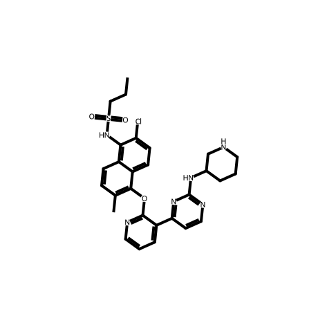 CCCS(=O)(=O)Nc1c(Cl)ccc2c(Oc3ncccc3-c3ccnc(NC4CCCNC4)n3)c(C)ccc12